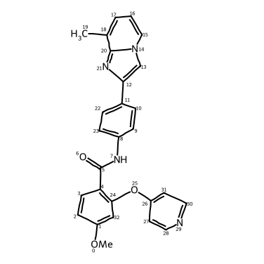 COc1ccc(C(=O)Nc2ccc(-c3cn4cccc(C)c4n3)cc2)c(Oc2ccncc2)c1